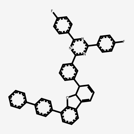 Fc1ccc(-c2nc(-c3ccc(F)cc3)nc(-c3cccc(C4C=CC=C5c6cccc(-c7ccc(-c8ccccc8)cc7)c6OC54)c3)n2)cc1